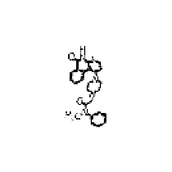 CN(C(=O)CN1CCN(c2ccnc3[nH]c(=O)c4ccccc4c23)CC1)c1ccccc1